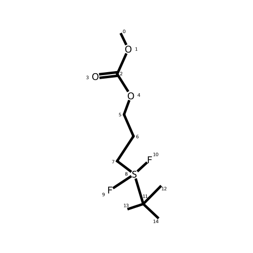 COC(=O)OCCCS(F)(F)C(C)(C)C